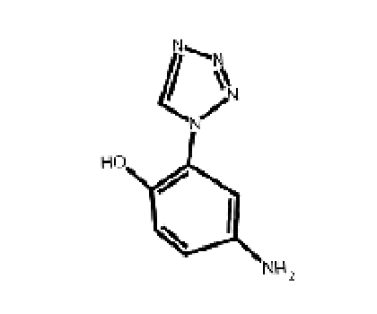 Nc1ccc(O)c(-n2cnnn2)c1